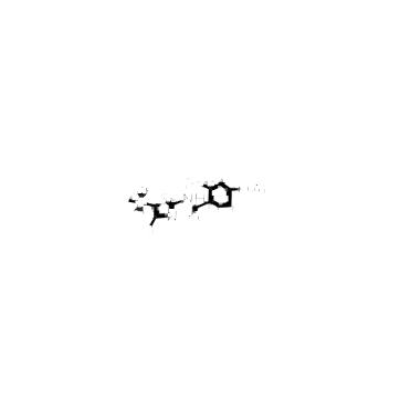 CC(=O)Oc1ccc(C(=O)Nc2nc(C)c(S(C)(=O)=O)s2)c(Br)c1